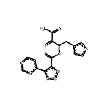 NC(=O)C(=O)C(Cc1ccsc1)NC(=O)c1nsnc1-c1ccncn1